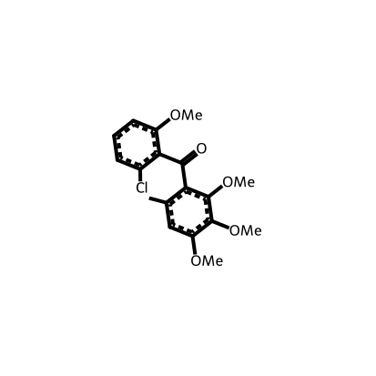 COc1cc(C)c(C(=O)c2c(Cl)cccc2OC)c(OC)c1OC